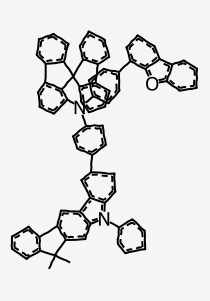 CC1(C)c2ccccc2-c2cc3c4cc(-c5ccc(N(c6ccc(-c7cccc8c7oc7ccccc78)cc6)c6cccc7c6C6(c8ccccc8-c8ccccc86)c6ccccc6-7)cc5)ccc4n(-c4ccccc4)c3cc21